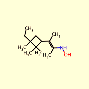 CCC1(C)CC(/C(C)=C(\C)NO)C1(C)C